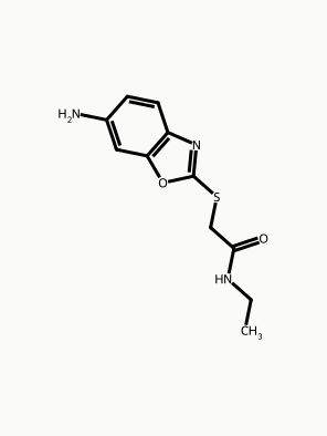 CCNC(=O)CSc1nc2ccc(N)cc2o1